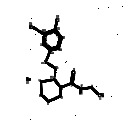 N#CCNC(=O)C1CCCC[C@@H]1CSc1ccc(Cl)c(Cl)c1.[Fe]